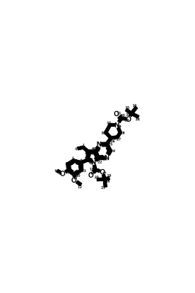 CCc1c(-c2ccc(OC)c(OC)c2)n(C(=O)OC(C)(C)C)c2ncc(C3CCN(C(=O)OC(C)(C)C)CC3)nc12